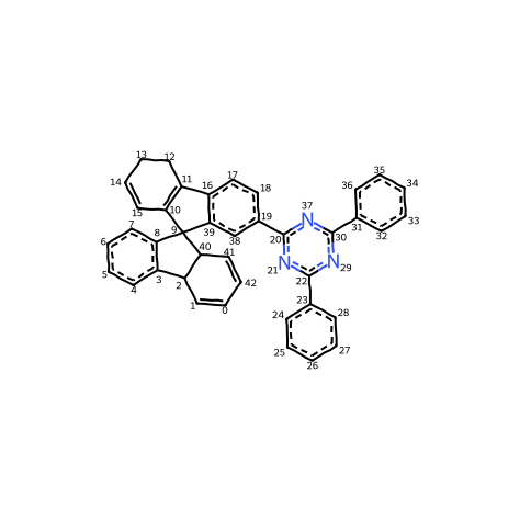 C1=CC2c3ccccc3C3(C4=C(CCC=C4)c4ccc(-c5nc(-c6ccccc6)nc(-c6ccccc6)n5)cc43)C2C=C1